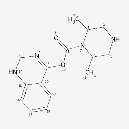 CC1CNCC(C)N1C(=O)OC1=NCNc2ccccc21